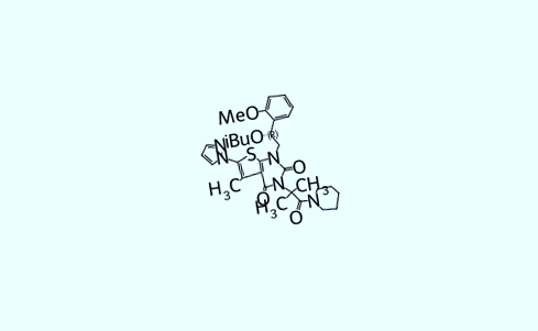 COc1ccccc1[C@H](Cn1c(=O)n(C(C)(C)C(=O)N2CCCCC2)c(=O)c2c(C)c(-n3cccn3)sc21)OCC(C)C